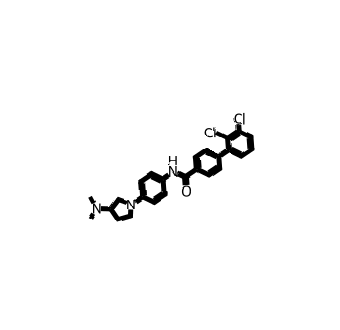 CN(C)C1CCN(c2ccc(NC(=O)c3ccc(-c4cccc(Cl)c4Cl)cc3)cc2)C1